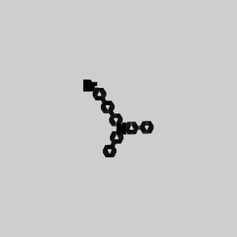 Brc1ccc(-c2ccc(-c3ccc(N(c4ccc(-c5ccccc5)cc4)c4ccc(-c5ccccc5)cc4)cc3)cc2)cc1